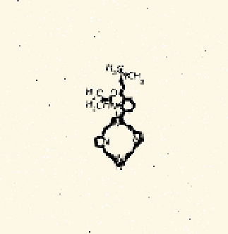 C=C(C)C(=O)Nc1c(CCCN(C)C)cccc1-c1cc2cc3nc(cc4ccc(cc5nc(cc1[nH]2)C=C5)[nH]4)C=C3